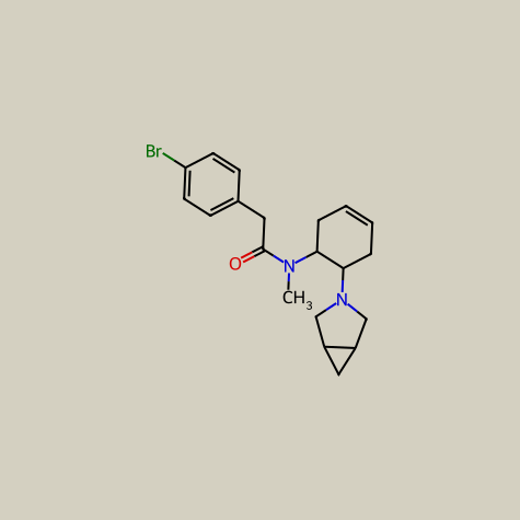 CN(C(=O)Cc1ccc(Br)cc1)C1CC=CCC1N1CC2CC2C1